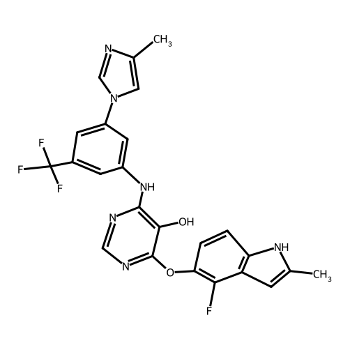 Cc1cn(-c2cc(Nc3ncnc(Oc4ccc5[nH]c(C)cc5c4F)c3O)cc(C(F)(F)F)c2)cn1